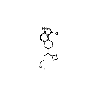 NCCCC(C1CCC1)C1CCc2c(ccc3[nH]cc(Cl)c23)C1